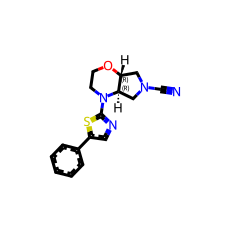 N#CN1C[C@@H]2[C@@H](C1)OCCN2c1ncc(-c2ccccc2)s1